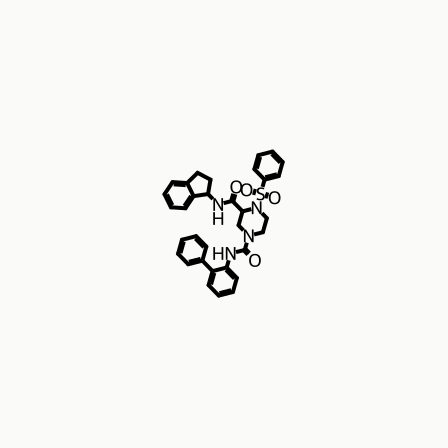 O=C(NC1CCc2ccccc21)C1CN(C(=O)Nc2ccccc2-c2ccccc2)CCN1S(=O)(=O)c1ccccc1